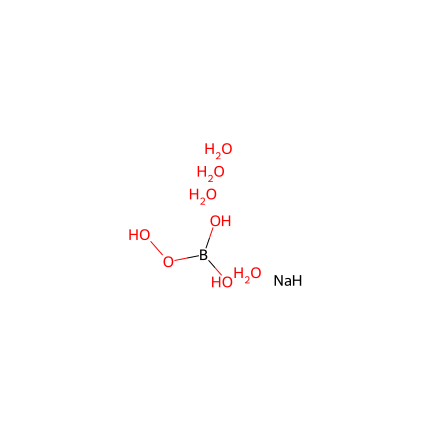 O.O.O.O.OOB(O)O.[NaH]